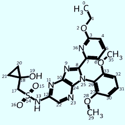 CCOc1cccc(-c2nc3nc(NS(=O)(=O)CC4(O)CC4)cnc3n2-c2c(OC)cccc2OC)n1